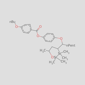 CCCCCC(Oc1ccc(OC(=O)c2ccc(OCCCC)cc2)cc1)C1CC(C)O[Si](C)(C)[Si]1(C)C